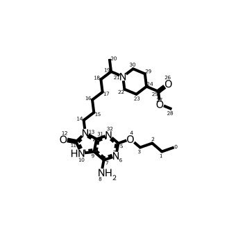 CCCCOc1nc(N)c2[nH]c(=O)n(CCCCCC(C)N3CCC(C(=O)OC)CC3)c2n1